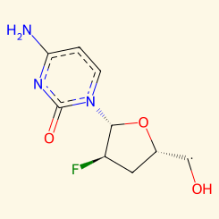 Nc1ccn([C@@H]2O[C@H]([CH]O)C[C@H]2F)c(=O)n1